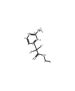 CCOC(=O)C(F)(F)c1ccnc(N)n1